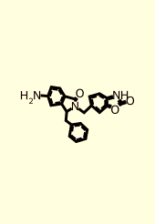 Nc1ccc2c(c1)C(Cc1ccccc1)N(Cc1ccc3[nH]c(=O)oc3c1)C2=O